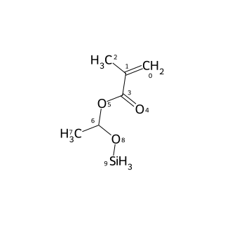 C=C(C)C(=O)OC(C)O[SiH3]